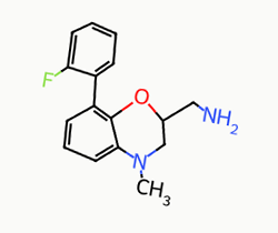 CN1CC(CN)Oc2c(-c3ccccc3F)cccc21